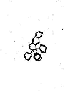 C1=CC(c2ccccc2)(c2ccccc2)C(c2ccccc2)(c2ccccc2)c2cc3ccccc3cc21